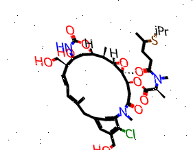 C/C1=C\C=C\[C@@H](CO)[C@@]2(O)C[C@H](OC(=O)N2)[C@@H](C)[C@@H]2O[C@@]2(C)[C@@H](OC(=O)[C@H](C)N(C)C(=O)CCC(C)SC(C)C)CC(=O)N(C)c2cc(cc(CO)c2Cl)C1